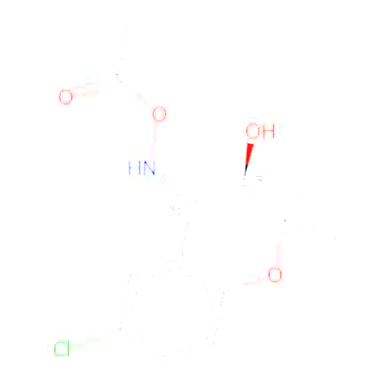 CC(=O)ON[C@H]1c2cc(Cl)ccc2OC(C)(C)[C@@H]1O